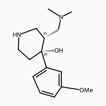 COc1cccc([C@@]2(O)CCNC[C@@H]2CN(C)C)c1